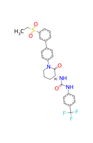 CCS(=O)(=O)c1cccc(-c2ccc(N3CCC[C@@H](NC(=O)Nc4ccc(C(F)(F)F)cc4)C3=O)cc2)c1